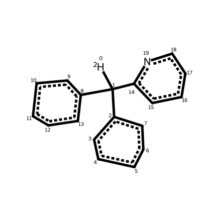 [2H]C(c1ccccc1)(c1ccccc1)c1ccccn1